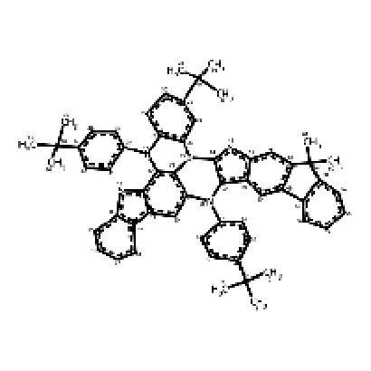 CC(C)(C)c1ccc(N2c3cc4c(sc5ccccc54)c4c3B(c3cc(C(C)(C)C)ccc3N4c3ccc(C(C)(C)C)cc3)c3sc4cc5c(cc4c32)-c2ccccc2C5(C)C)cc1